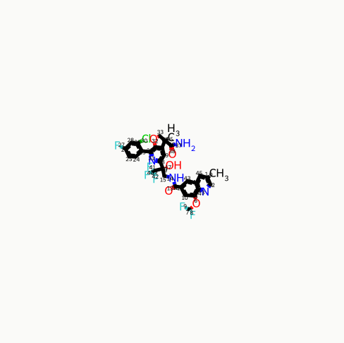 Cc1cnc2c(OC(F)F)cc(C(=O)NC[C@](O)(c3cc4c(c(-c5ccc(F)cc5Cl)n3)OC[C@]4(C)C(N)=O)C(F)(F)F)cc2c1